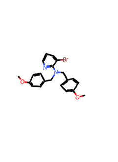 COc1ccc(CN(Cc2ccc(OC)cc2)c2ncccc2Br)cc1